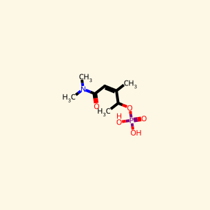 CC(=CC(=O)N(C)C)C(C)OP(=O)(O)O